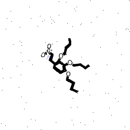 CCCCOc1ccc(/C=C/[N+](=O)[O-])c(OCCCC)c1OCCCC